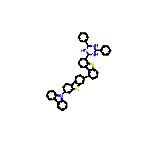 c1ccc(C2NC(c3ccccc3)NC(c3cccc4c3sc3cccc(-c5ccc6c(c5)sc5cc(-n7c8ccccc8c8ccccc87)ccc56)c34)N2)cc1